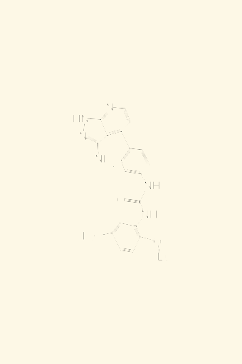 CCOc1ccc(C(F)(F)F)cc1NC(=O)Nc1ccc(-c2ccnc3[nH]nc(N)c23)cc1